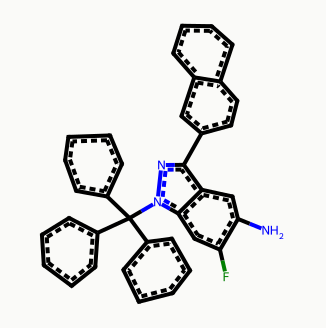 Nc1cc2c(-c3ccc4ccccc4c3)nn(C(c3ccccc3)(c3ccccc3)c3ccccc3)c2cc1F